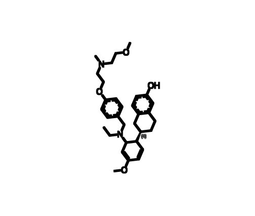 CCN(Cc1ccc(OCCN(C)CCOC)cc1)C1C=C(OC)C=CC1[C@@H]1CCc2cc(O)ccc2C1